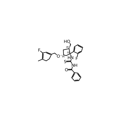 CC1=C(F)C=C(CO[C@@H]2C[C@@H](CO)[C@](NC(=S)NC(=O)c3ccccc3)(c3ccccc3F)C2)CC1